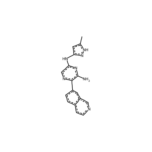 Cc1cc(Nc2cnc(-c3ccc4ccncc4c3)c(N)n2)n[nH]1